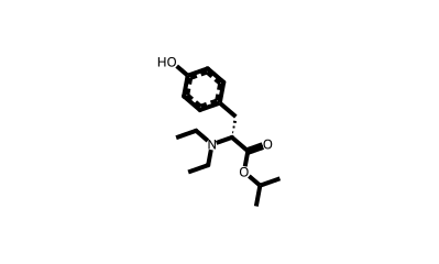 CCN(CC)[C@H](Cc1ccc(O)cc1)C(=O)OC(C)C